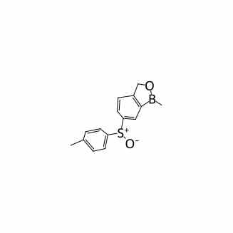 CB1OCc2ccc([S+]([O-])c3ccc(C)cc3)cc21